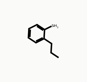 CCCc1ccccc1[SiH3]